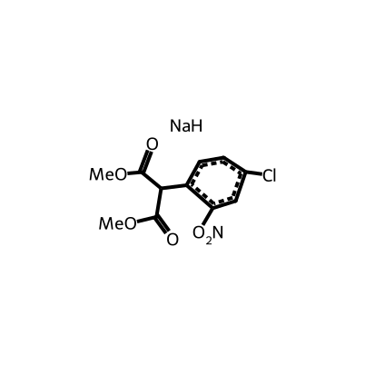 COC(=O)C(C(=O)OC)c1ccc(Cl)cc1[N+](=O)[O-].[NaH]